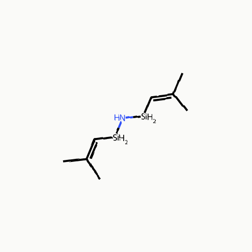 CC(C)=C[SiH2]N[SiH2]C=C(C)C